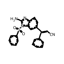 N#C/C=C(\c1ccccc1)c1ccc2nc(N)n(S(=O)(=O)c3ccccc3)c2c1